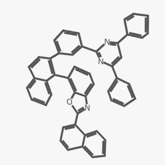 c1ccc(-c2cc(-c3ccccc3)nc(-c3cccc(-c4ccc5ccccc5c4-c4cccc5nc(-c6cccc7ccccc67)oc45)c3)n2)cc1